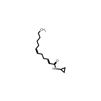 CCCCC/C=C\CC/C=C/C(=O)NC1CC1